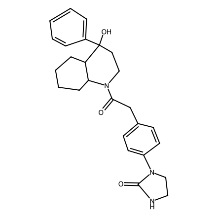 O=C1NCCN1c1ccc(CC(=O)N2CCC(O)(c3ccccc3)C3CCCCC32)cc1